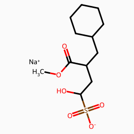 COC(=O)C(CC1CCCCC1)CC(O)S(=O)(=O)[O-].[Na+]